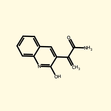 C=C(C(N)=O)c1cc2ccccc2nc1O